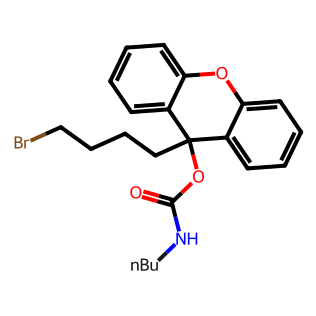 CCCCNC(=O)OC1(CCCCBr)c2ccccc2Oc2ccccc21